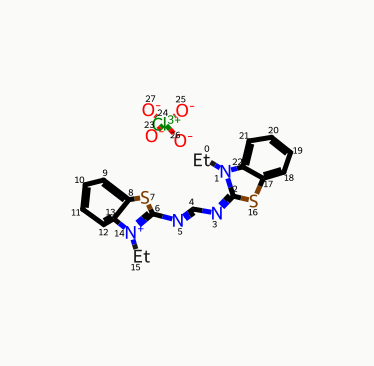 CCn1c(=NC=Nc2sc3ccccc3[n+]2CC)sc2ccccc21.[O-][Cl+3]([O-])([O-])[O-]